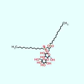 CCCCCCCCCCCCCCCCS(=O)(=O)CC(CO[C@H]1O[C@H](CO)[C@@H](O[C@@H]2O[C@H](CO)[C@H](O)[C@H](O)[C@H]2O)[C@H](O)[C@H]1O)CS(=O)(=O)CCCCCCCCCCCCCCCC